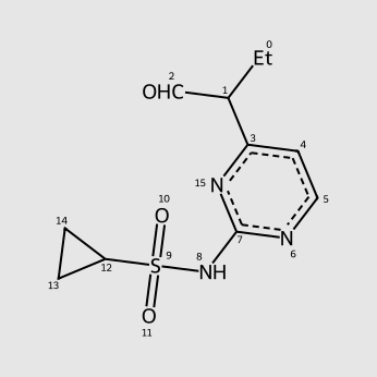 CCC(C=O)c1ccnc(NS(=O)(=O)C2CC2)n1